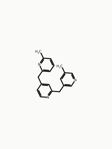 Cc1cncc(Cc2cc(Cc3cccc(C)n3)ccn2)c1